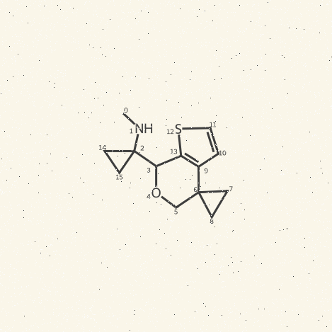 CNC1(C2OCC3(CC3)c3ccsc32)CC1